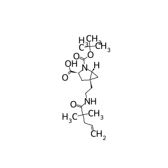 C=CCC(C)(C)C(=O)NCC[C@@]12C[C@@H](C(=O)O)N(C(=O)OC(C)(C)C)[C@@H]1C2